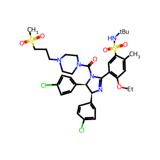 CCOc1cc(C)c(S(=O)(=O)NC(C)(C)C)cc1C1=N[C@@H](c2ccc(Cl)cc2)[C@@H](c2ccc(Cl)cc2)N1C(=O)N1CCN(CCCS(C)(=O)=O)CC1